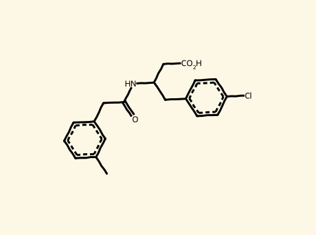 Cc1cccc(CC(=O)NC(CC(=O)O)Cc2ccc(Cl)cc2)c1